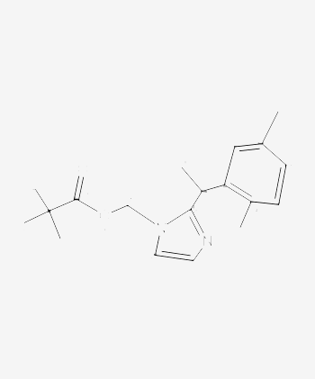 Cc1ccc(C)c(C(C)c2nccn2COC(=O)C(C)(C)C)c1